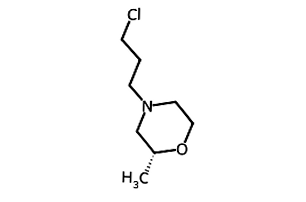 C[C@@H]1CN(CCCCl)CCO1